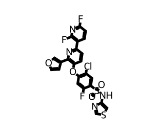 O=S(=O)(Nc1cscn1)c1cc(Cl)c(Oc2ccc(-c3ccc(F)nc3F)nc2-c2ccoc2)cc1F